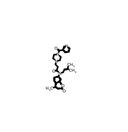 CC(C)=CCN(C(=O)CCN1CCN(C(=O)c2cccnc2)CC1)c1ccc2c(C)cc(=O)oc2c1